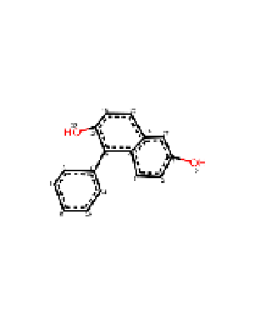 Oc1ccc2c(-c3ccccc3)c(O)ccc2c1